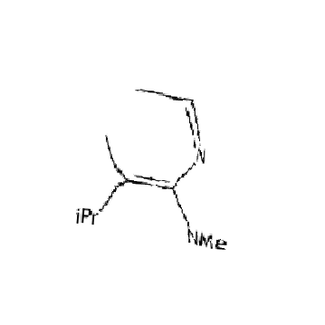 C/C=N\C(NC)=C(C)C(C)C